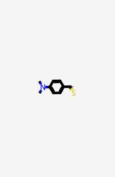 CN(C)c1ccc([C]=S)cc1